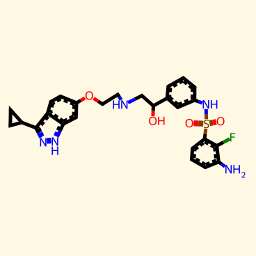 Nc1cccc(S(=O)(=O)Nc2cccc(C(O)CNCCOc3ccc4c(C5CC5)n[nH]c4c3)c2)c1F